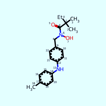 CCC(C)(C)C(=O)N(O)Cc1ccc(Nc2ccc(C)cc2)cc1